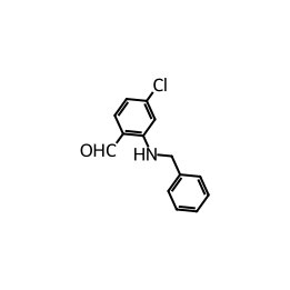 O=Cc1ccc(Cl)cc1NCc1ccccc1